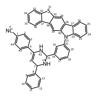 N#Cc1ccc(C2=CC(c3ccccc3)NC(c3cccc(-n4c5ccccc5c5cc6sc7ccccc7c6cc54)c3)N2)cc1